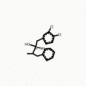 CC(Cc1ccccc1)[C@](N)(O)Cc1ccc(Cl)c(Cl)c1